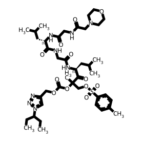 CCC(CC)n1cc(COC(=O)OC(C)(COS(=O)(=O)c2ccc(C)cc2)C(=O)[C@H](CC(C)C)NC(=O)CNC(=O)[C@H](CC(C)C)NC(=O)CNC(=O)CN2CCOCC2)nn1